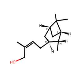 CC(=CC[C@H]1C[C@H]2C[C@@H]([C@@H]1C)C2(C)C)CO